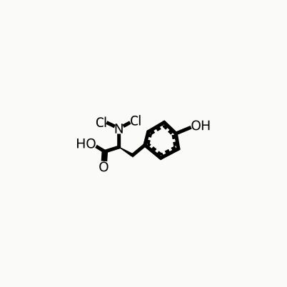 O=C(O)[C@H](Cc1ccc(O)cc1)N(Cl)Cl